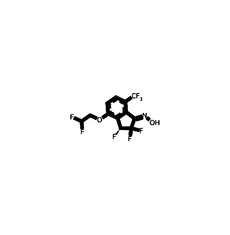 O/N=C1/c2c(C(F)(F)F)ccc(OCC(F)F)c2[C@@H](F)C1(F)F